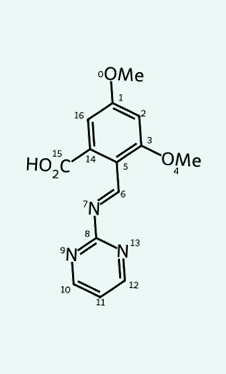 COc1cc(OC)c(C=Nc2ncccn2)c(C(=O)O)c1